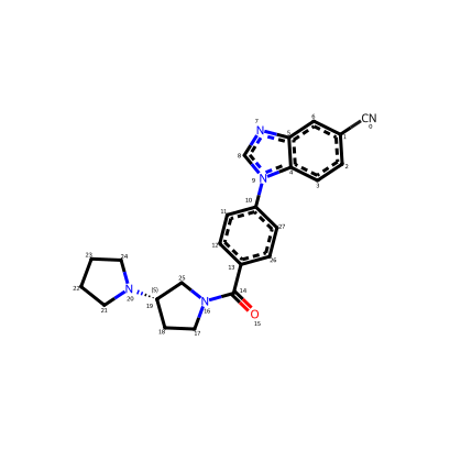 N#Cc1ccc2c(c1)ncn2-c1ccc(C(=O)N2CC[C@H](N3CCCC3)C2)cc1